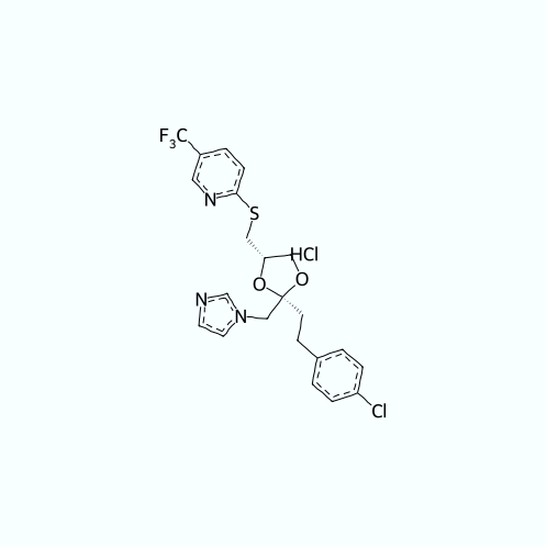 Cl.FC(F)(F)c1ccc(SC[C@@H]2CO[C@@](CCc3ccc(Cl)cc3)(Cn3ccnc3)O2)nc1